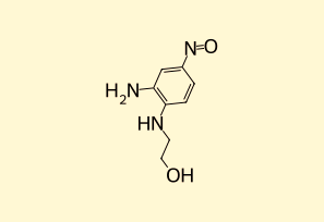 Nc1cc(N=O)ccc1NCCO